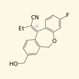 CC/C(C#N)=C1\c2ccc(CO)cc2COc2cc(F)ccc21